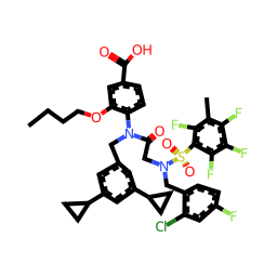 CCCCOc1cc(C(=O)O)ccc1N(Cc1cc(C2CC2)cc(C2CC2)c1)C(=O)CN(Cc1ccc(F)cc1Cl)S(=O)(=O)c1c(F)c(C)c(F)c(F)c1F